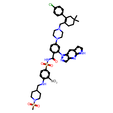 CC1(C)CCC(CN2CCN(c3ccc(C(=O)NS(=O)(=O)c4ccc(NCC5CCN(S(C)(=O)=O)CC5)c([N+](=O)[O-])c4)c(-n4ncc5nc6[nH]ccc6cc54)c3)CC2)=C(c2ccc(Cl)cc2)C1